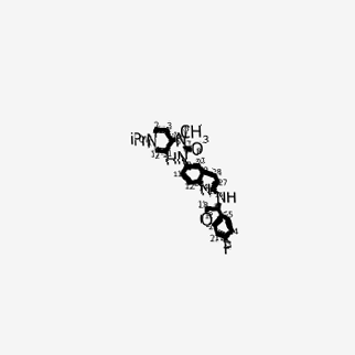 CC(C)N1CCC(N(C)C(=O)Nc2ccc3nc(NC4COc5cc(F)ccc54)ccc3c2)CC1